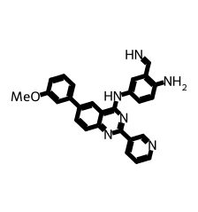 COc1cccc(-c2ccc3nc(-c4cccnc4)nc(Nc4ccc(N)c(C=N)c4)c3c2)c1